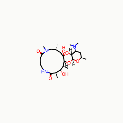 C[C@H]1CN(C)C(=O)CCCNC(=O)[C@H](C)[C@@H](O)[C@H](C)[C@H]2O[C@@H]3O[C@H](C)C[C@H](N(C)C)[C@H]3O[C@@]2(O)C1